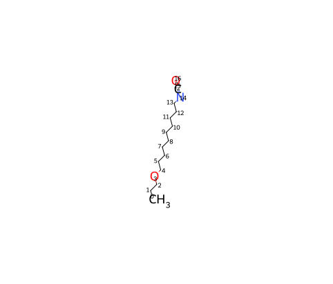 CCCOCCCCCCCCCCN=C=O